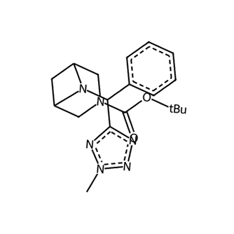 Cn1nnc(C(c2ccccc2)N2C3CC2CN(C(=O)OC(C)(C)C)C3)n1